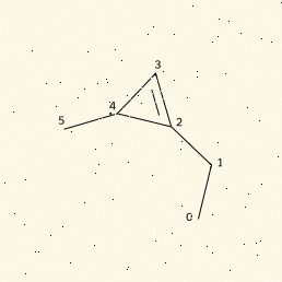 CCC1=C[C]1C